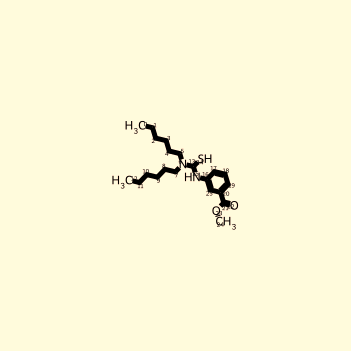 CCCCCCN(CCCCCC)C(S)Nc1cccc(C(=O)OC)c1